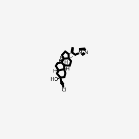 C=C(Cn1ccnc1)[C@H]1CC[C@H]2[C@@H]3CC[C@@H]4C[C@@](O)(C#CCl)CC[C@@H]4[C@H]3CC[C@]12C